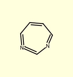 C1=CC=[N+]=CN=C1